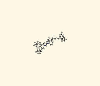 C=C1/C(=C\C=C2/CCC[C@]3(C)[C@@H]([C@H](C)CCCC(OC(C)=O)c4nccs4)CC[C@@H]23)C[C@@H](O[Si](C)(C)C(C)(C)C)C[C@@H]1O[Si](C)(C)C(C)(C)C